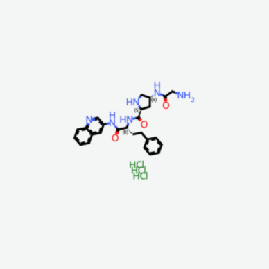 Cl.Cl.Cl.NCC(=O)N[C@H]1CN[C@H](C(=O)N[C@H](CCc2ccccc2)C(=O)Nc2cnc3ccccc3c2)C1